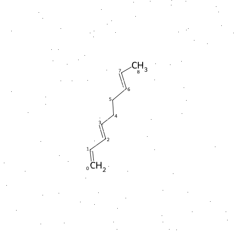 C=CC=CCCC=CC